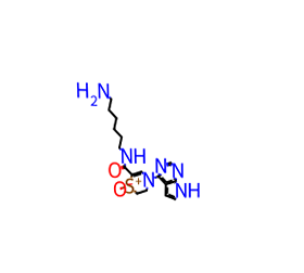 NCCCCCCNC(=O)C1=CN(c2ncnc3[nH]ccc23)CC[S+]1[O-]